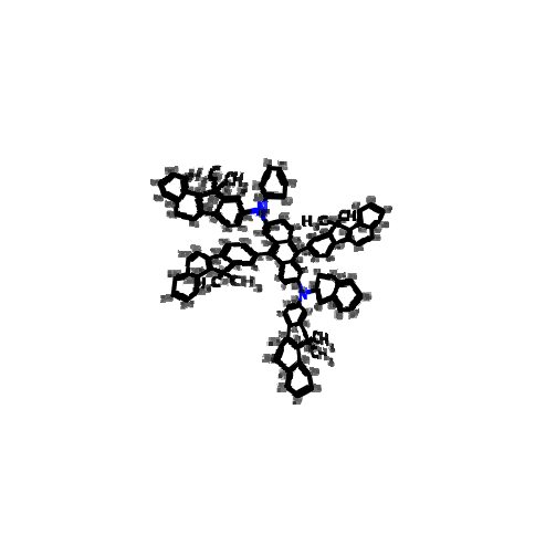 CC1(C)c2cc(-c3c4ccc(N(c5ccc6c(c5)C(C)(C)c5c-6ccc6ccccc56)c5ccc6ccccc6c5)cc4c(-c4ccc5c(c4)C(C)(C)c4c-5ccc5ccccc45)c4ccc(N(c5ccccc5)c5ccc6c(c5)C(C)(C)c5c-6ccc6ccccc56)cc34)ccc2-c2ccc3ccccc3c21